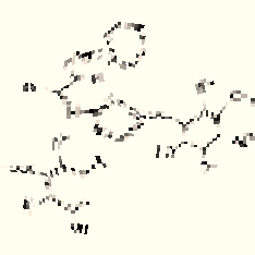 CCCCCCCCC(=Nc1ccccc1)C(CCCCC)=Nc1ccccc1.CCCc1c(C)cc(O)c(O)c1C(=O)[O-].CCCc1c(C)cc(O)c(O)c1C(=O)[O-].[Pd+2]